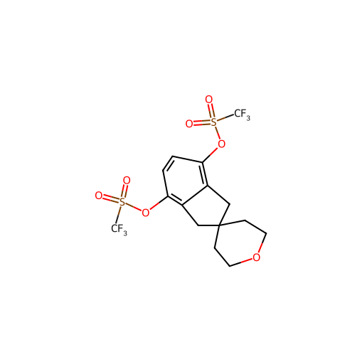 O=S(=O)(Oc1ccc(OS(=O)(=O)C(F)(F)F)c2c1CC1(CCOCC1)C2)C(F)(F)F